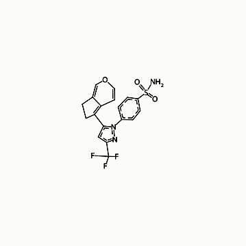 NS(=O)(=O)c1ccc(-n2nc(C(F)(F)F)cc2C2=C3C=COC=C3CC2)cc1